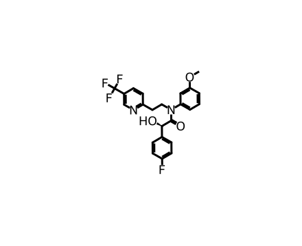 COc1cccc(N(CCc2ccc(C(F)(F)F)cn2)C(=O)[C@H](O)c2ccc(F)cc2)c1